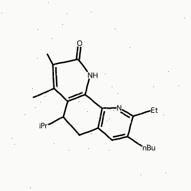 CCCCc1cc2c(nc1CC)-c1[nH]c(=O)c(C)c(C)c1C(C(C)C)C2